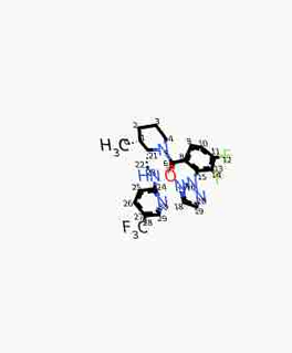 C[C@@H]1CCCN(C(=O)c2ccc(F)c(F)c2-n2nccn2)[C@@H]1CNc1ccc(C(F)(F)F)cn1